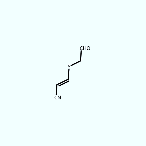 N#CC=CSC[C]=O